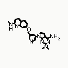 CNc1ccc2ccc(OCc3cncc(-n4ccc5c(N)nc(N(C)C)nc54)c3)cc2n1